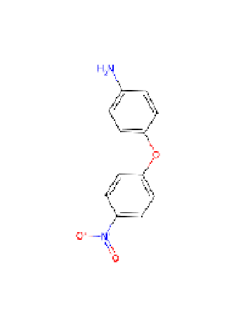 Nc1ccc(Oc2ccc([N+](=O)[O-])cc2)cc1